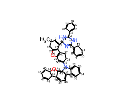 CC1C=C(C2N=C(C3=CC=CCC3)NC(c3ccccc3)N2)c2c(oc3c2CCC(n2c4ccccc4c4ccc5c(c42)OC2C=CC=CC52)=C3)C1